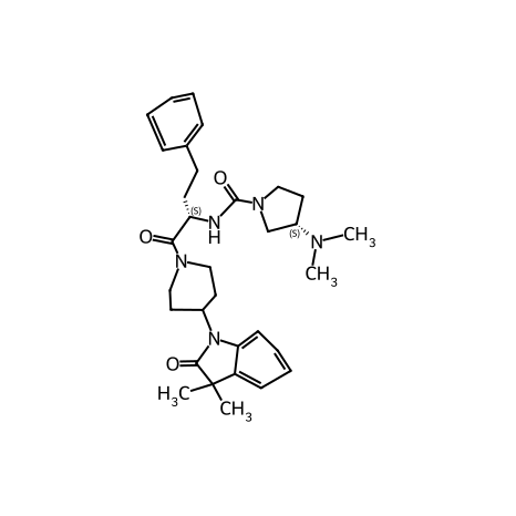 CN(C)[C@H]1CCN(C(=O)N[C@@H](CCc2ccccc2)C(=O)N2CCC(N3C(=O)C(C)(C)c4ccccc43)CC2)C1